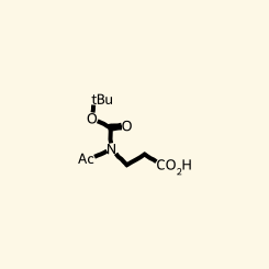 CC(=O)N(CCC(=O)O)C(=O)OC(C)(C)C